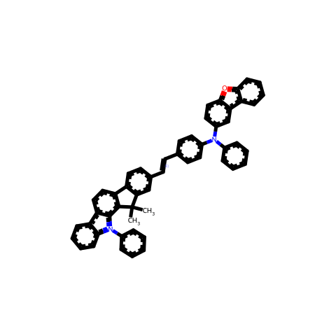 CC1(C)c2cc(/C=C/c3ccc(N(c4ccccc4)c4ccc5oc6ccccc6c5c4)cc3)ccc2-c2ccc3c4ccccc4n(-c4ccccc4)c3c21